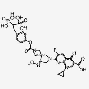 CO/N=C1/CN(c2nc3c(cc2F)c(=O)c(C(=O)O)cn3C2CC2)CC12CN(C(=O)Oc1ccc(CC(P(=O)(O)O)P(=O)(O)O)cc1)C2